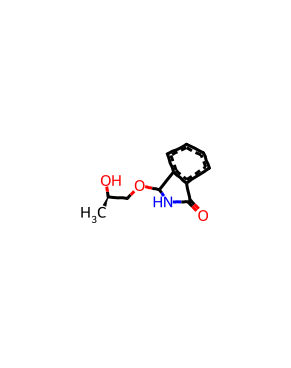 C[C@@H](O)COC1NC(=O)c2ccccc21